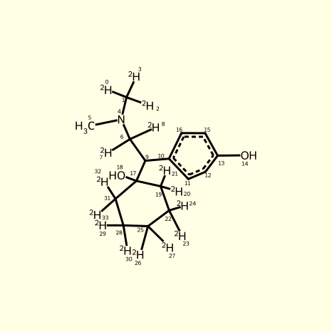 [2H]C([2H])([2H])N(C)C([2H])([2H])C(c1ccc(O)cc1)C1(O)C([2H])([2H])C([2H])([2H])C([2H])([2H])C([2H])([2H])C1([2H])[2H]